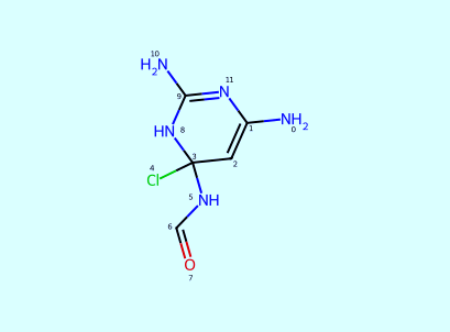 NC1=CC(Cl)(NC=O)NC(N)=N1